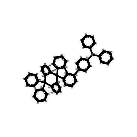 c1ccc(N(c2ccccc2)c2ccc(-c3cccc4c3-c3ccccc3C43c4ccccc4C(c4ccccc4)(c4ccccc4)c4ccccc43)cc2)cc1